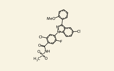 COc1ccccc1-c1nn(-c2cc(Cl)c(C(=O)NS(C)(=O)=O)cc2F)c2ccc(Cl)cc12